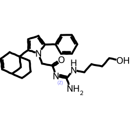 N/C(=N/C(=O)Cn1c(-c2ccccc2)ccc1C12CC=CC(CCC1)C2)NCCCCO